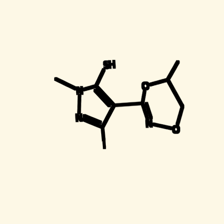 CC1CON=C(c2c(I)nn(C)c2S)O1